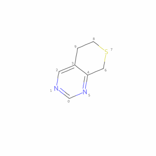 c1ncc2c(n1)CSCC2